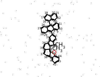 CC1(C)c2ccc(-c3c4ccccc4c(-c4cccc5ccccc45)c4ccccc34)cc2-c2ccc3ccc4c5ccccc5oc4c3c21